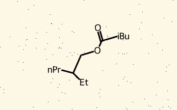 CCCC(CC)COC(=O)C(C)CC